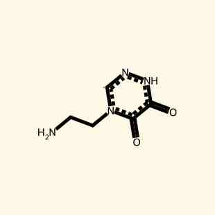 NCCn1[c]n[nH]c(=O)c1=O